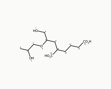 CC(O)COC(CO)CC(CCCC(=O)O)C(=O)O